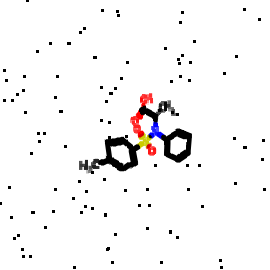 Cc1ccc(S(=O)(=O)N(c2ccccc2)[C@@H](C)C(=O)O)cc1